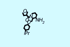 CC(C)C1CCC(OCC2C(N)CCCN2C(=O)C2CCOC2)CC1